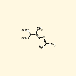 CCCCCCC(CCCCCC)/C(C)=N/N=C(C)C